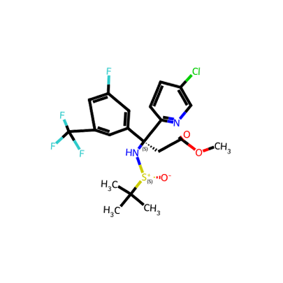 COC(=O)C[C@](N[S@+]([O-])C(C)(C)C)(c1cc(F)cc(C(F)(F)F)c1)c1ccc(Cl)cn1